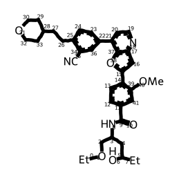 CCOCC(CC(O)CC)NC(=O)c1ccc(-c2cc3nccc(-c4ccc(CCC5CCOCC5)c(C#N)c4)c3o2)c(OC)c1